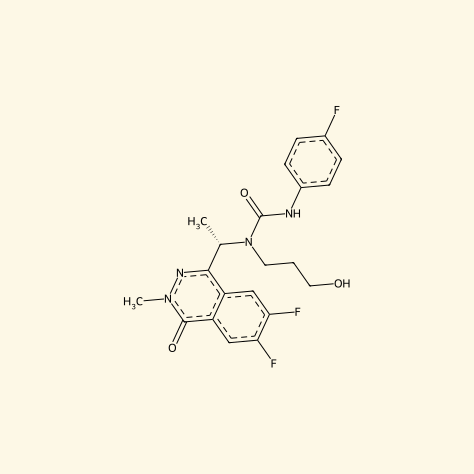 C[C@@H](c1nn(C)c(=O)c2cc(F)c(F)cc12)N(CCCO)C(=O)Nc1ccc(F)cc1